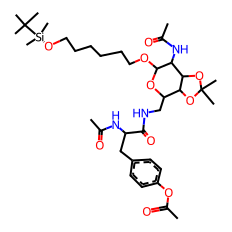 CC(=O)NC(Cc1ccc(OC(C)=O)cc1)C(=O)NCC1OC(OCCCCCCO[Si](C)(C)C(C)(C)C)C(NC(C)=O)C2OC(C)(C)OC12